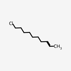 CC=CCCCCCCCCl